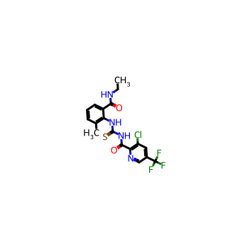 CCNC(=O)c1cccc(C)c1NC(=S)NC(=O)c1ncc(C(F)(F)F)cc1Cl